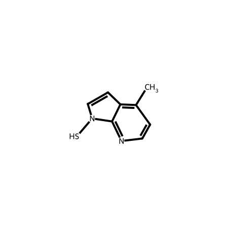 Cc1ccnc2c1ccn2S